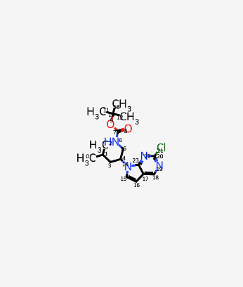 CC(C)CC(CNC(=O)OC(C)(C)C)n1ccc2cnc(Cl)nc21